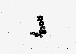 Cc1cccc(C2CCN(C(=O)Cn3nc(C(=O)N4CC[C@H](O)C4)c4c3CCC4)CC2)c1C